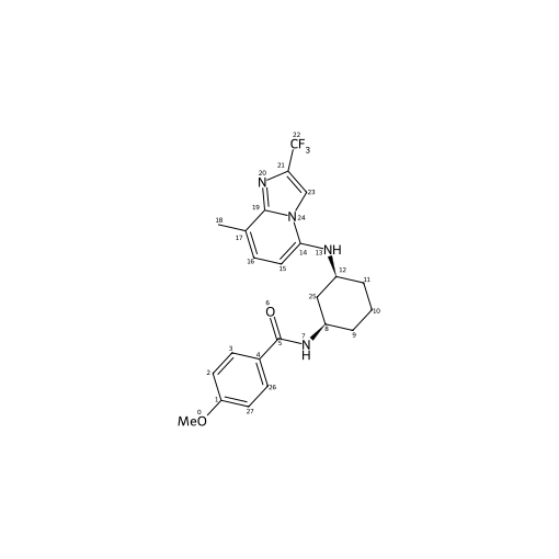 COc1ccc(C(=O)N[C@@H]2CCC[C@H](Nc3ccc(C)c4nc(C(F)(F)F)cn34)C2)cc1